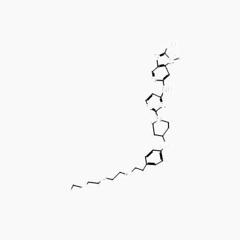 Cc1nc2cnc(Nc3ccnc(N4CCC(Oc5ccc(CCOCCOCCOCC(=O)O)cc5)CC4)n3)cc2n1C(C)C